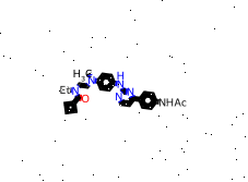 CCN(CCN(C)c1ccc(Nc2nccc(-c3ccc(NC(C)=O)cc3)n2)cc1)C(=O)C1CCC1